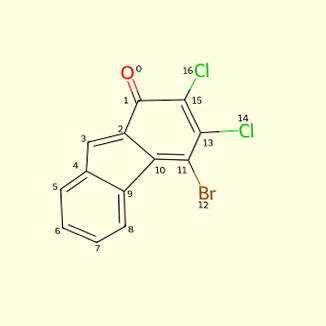 O=C1C2=Cc3ccccc3C2=C(Br)C(Cl)=C1Cl